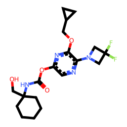 O=C(NC1(CO)CCCCC1)Oc1cnc(N2CC(F)(F)C2)c(OCC2CC2)n1